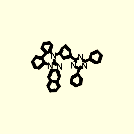 c1ccc(-c2nc(-c3ccccc3)nc(-c3cccc(N4c5ccccc5-c5ccccc5-n5c4nc4cc6ccccc6cc45)c3)n2)cc1